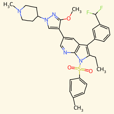 CCc1c(-c2cccc(C(F)F)c2)c2cc(-c3cn(C4CCN(C)CC4)nc3OC)cnc2n1S(=O)(=O)c1ccc(C)cc1